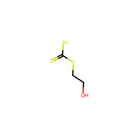 OCCSC(=S)S